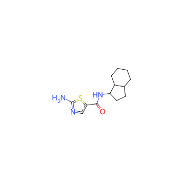 Nc1ncc(C(=O)NC2CCC3CCCCC32)s1